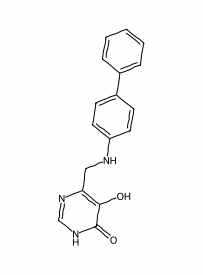 O=c1[nH]cnc(CNc2ccc(-c3ccccc3)cc2)c1O